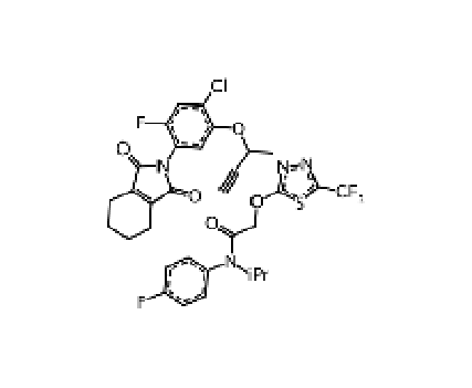 C#CC(C)Oc1cc(N2C(=O)C3=C(CCCC3)C2=O)c(F)cc1Cl.CC(C)N(C(=O)COc1nnc(C(F)(F)F)s1)c1ccc(F)cc1